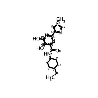 CCC1CCC(NC(=O)c2nc(-c3cn(C)cn3)nc(O)c2O)CC1